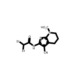 CCC(CC)C(=O)Nc1sc2c(c1C#N)CCCN2C(=O)O